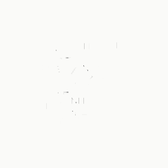 CC(C)CCC1(C(=O)Nc2cc(Cl)c(Cl)cc2SC(=O)NC(C)(C)C)CCCCC1